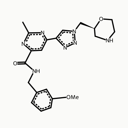 COc1cccc(CNC(=O)c2cc(-c3cn(C[C@@H]4CNCCO4)nn3)nc(C)n2)c1